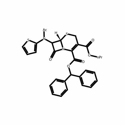 CCCOC(=O)C1=C(C(=O)OC(c2ccccc2)c2ccccc2)N2C(=O)C(N(C(C)=O)c3cccs3)[C@@H]2SC1